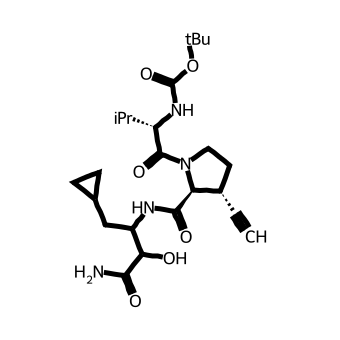 C#C[C@H]1CCN(C(=O)[C@@H](NC(=O)OC(C)(C)C)C(C)C)[C@@H]1C(=O)NC(CC1CC1)C(O)C(N)=O